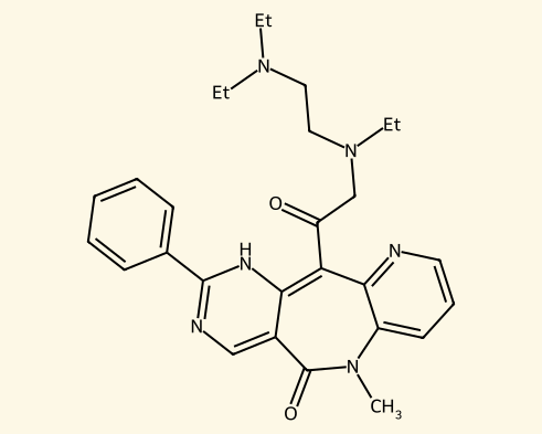 CCN(CC)CCN(CC)CC(=O)C1=C2NC(c3ccccc3)=NC=C2C(=O)N(C)c2cccnc21